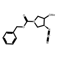 COC1CN(C(=O)OCc2ccccc2)C[C@@H]1N=[N+]=[N-]